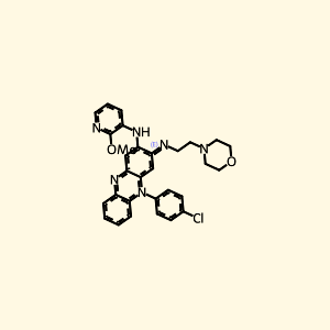 COc1ncccc1Nc1cc2nc3ccccc3n(-c3ccc(Cl)cc3)c-2c/c1=N\CCN1CCOCC1